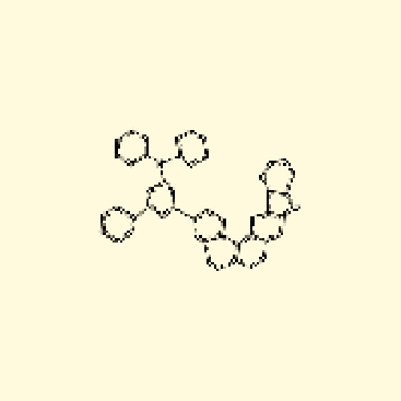 c1ccc(-c2cc(-c3ccc4c(ccc5ccc6cc7oc8ccccc8c7cc6c54)c3)cc(N(c3ccccc3)c3ccccc3)c2)cc1